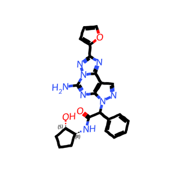 Nc1nc2c(cnn2C(C(=O)N[C@@H]2CCC[C@@H]2O)c2ccccc2)c2nc(-c3ccco3)nn12